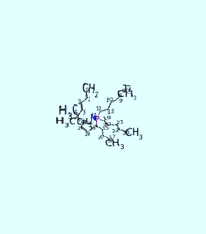 C=CC=CC(C)(C)C.CCCCCP(CCCCC)(CCCCC)=NC1=CC=CC1.[Ti]